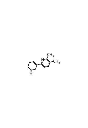 Cc1ccc(C2=CCCNC2)nc1C